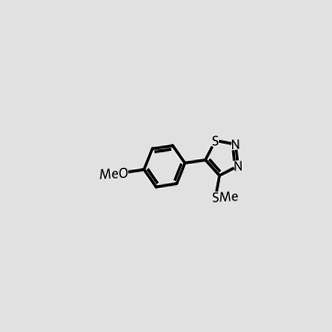 COc1ccc(-c2snnc2SC)cc1